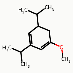 COC1=CC(C(C)C)=CC(C(C)C)C1